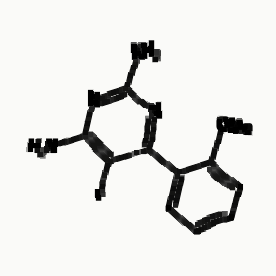 COc1ccccc1-c1nc(N)nc(N)c1F